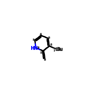 C=C1NC=CC=C1C(C)(C)C